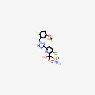 CC(O)(CS(N)(=O)=O)c1nc(-c2nnn(Cc3cc(OC(F)(F)F)ccc3F)n2)ccc1Cl